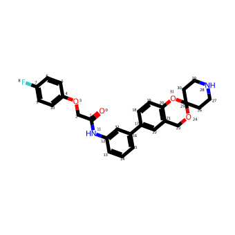 O=C(COc1ccc(F)cc1)Nc1cccc(-c2ccc3c(c2)COC2(CCNCC2)O3)c1